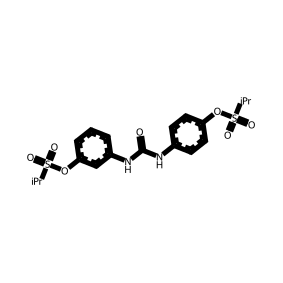 CC(C)S(=O)(=O)Oc1ccc(NC(=O)Nc2cccc(OS(=O)(=O)C(C)C)c2)cc1